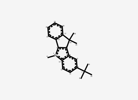 Cn1c2c(c3cc(C(C)(C)C)ccc31)C(C)(C)c1ccccc1-2